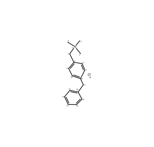 C[N+](C)(C)Cc1ccc(Cc2ccccc2)cc1.[Cl-]